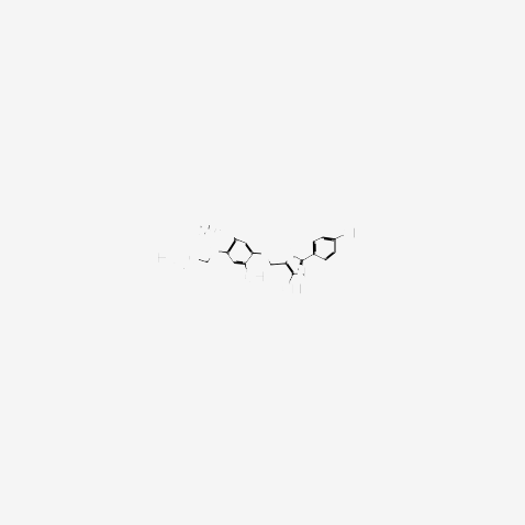 COc1cc(SCc2sc(-c3ccc(C(F)(F)F)cc3)nc2C)c(C)cc1OCC(=O)O